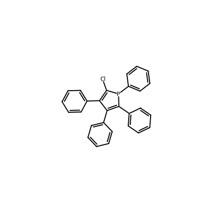 Clc1c(-c2ccccc2)c(-c2ccccc2)c(-c2ccccc2)p1-c1ccccc1